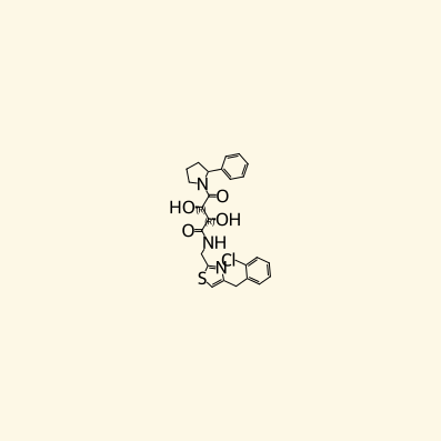 O=C(NCc1nc(Cc2ccccc2Cl)cs1)[C@H](O)[C@@H](O)C(=O)N1CCCC1c1ccccc1